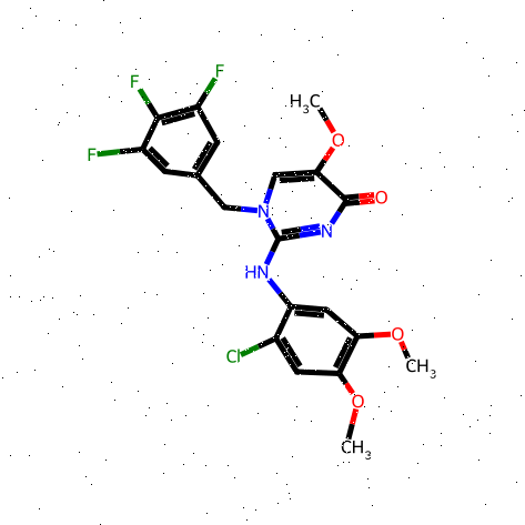 COc1cc(Cl)c(Nc2nc(=O)c(OC)cn2Cc2cc(F)c(F)c(F)c2)cc1OC